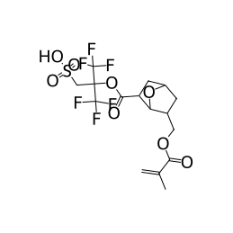 C=C(C)C(=O)OCC1CC2CC(C(=O)OC(CS(=O)(=O)O)(C(F)(F)F)C(F)(F)F)C1O2